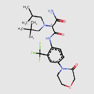 CC(C)CN(CC(C)(C)C)[C@@H](C(N)=O)C(=O)Nc1ccc(N2CCOCC2=O)cc1C(F)(F)F